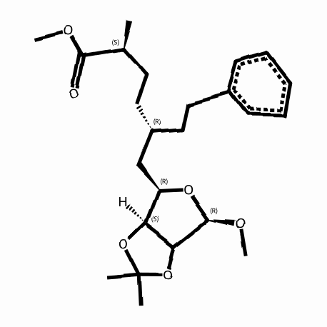 COC(=O)[C@@H](C)CC[C@H](CCc1ccccc1)C[C@H]1O[C@@H](OC)C2OC(C)(C)O[C@H]21